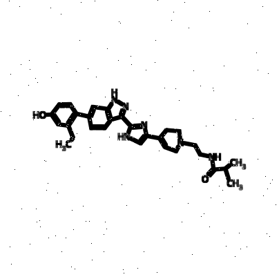 CCc1cc(O)ccc1-c1ccc2c(-c3nc(C4=CCN(CCNC(=O)C(C)C)CC4)c[nH]3)n[nH]c2c1